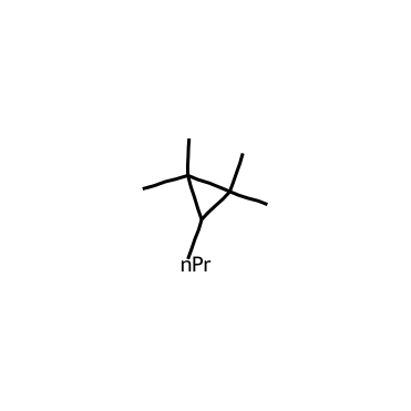 CCCC1C(C)(C)C1(C)C